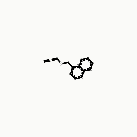 C=C=COCc1cccc2ccccc12